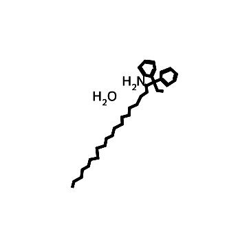 CCCCCCCCCCCCCCCCCCCC(N)C(CC)(c1ccccc1)c1ccccc1.O